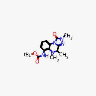 CC1c2nn(C)c(=O)n2-c2cccc(NC(=O)OC(C)(C)C)c2N1C